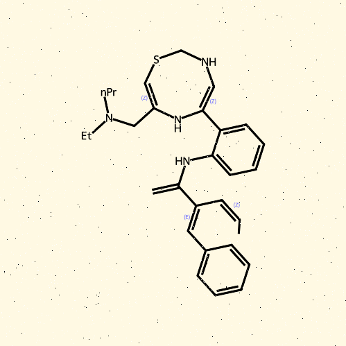 C=C(Nc1ccccc1/C1=C/NCS/C=C(/CN(CC)CCC)N1)C(/C=C\C)=C/c1ccccc1